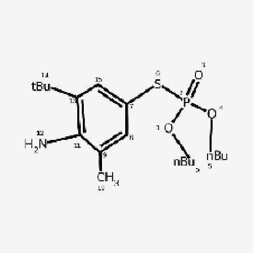 CCCCOP(=O)(OCCCC)Sc1cc(C)c(N)c(C(C)(C)C)c1